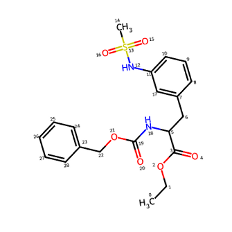 CCOC(=O)C(Cc1cccc(NS(C)(=O)=O)c1)NC(=O)OCc1ccccc1